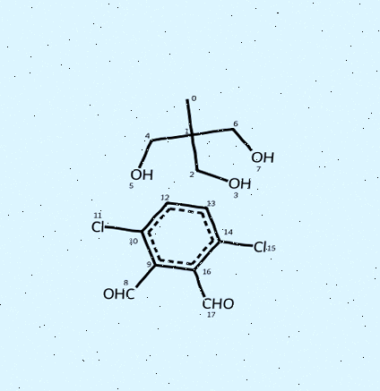 CC(CO)(CO)CO.O=Cc1c(Cl)ccc(Cl)c1C=O